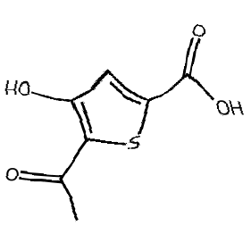 CC(=O)c1sc(C(=O)O)cc1O